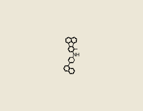 Cc1c(NC2C=CC(c3cccc4ccccc34)=CC2)ccc2c1-c1cccc3cccc-2c13